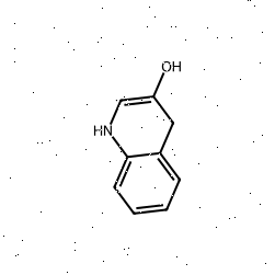 OC1=[C]Nc2ccccc2C1